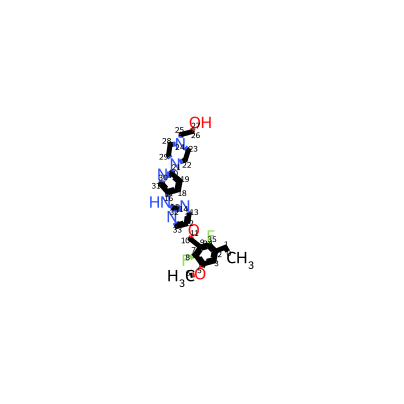 CCc1cc(OC)c(F)c(COc2cnc(Nc3ccc(N4CCN(CCO)CC4)nc3)nc2)c1F